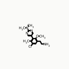 COc1c(CCN)cc(Cl)c(C)c1-c1cnc(N(C)C)nc1